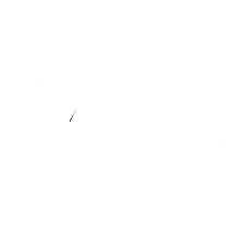 CC#C[C@@H](CC(=O)O)c1ccc(O[C@H](C)CC)cc1